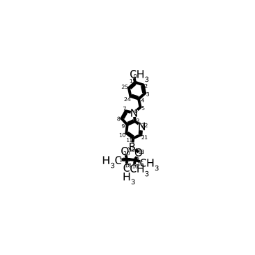 Cc1ccc(Cn2ccc3cc(B4OC(C)(C)C(C)(C)O4)cnc32)cc1